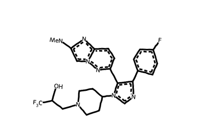 CNc1cn2nc(-c3c(-c4ccc(F)cc4)ncn3C3CCN(CC(O)C(F)(F)F)CC3)ccc2n1